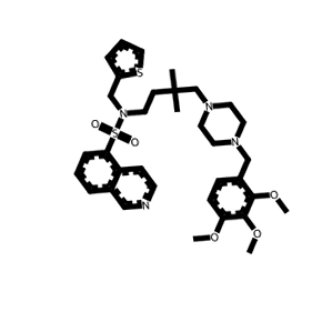 COc1ccc(CN2CCN(CC(C)(C)CCN(Cc3cccs3)S(=O)(=O)c3cccc4cnccc34)CC2)c(OC)c1OC